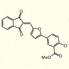 COC(=O)c1cc(-c2ccc(C=C3C(=O)c4ccccc4C3=O)o2)ccc1Cl